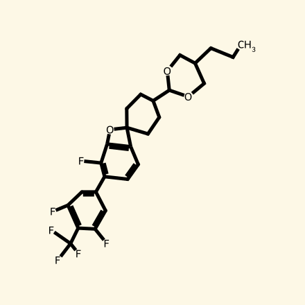 CCCC1COC(C2CCC3(CC2)Oc2c3ccc(-c3cc(F)c(C(F)(F)F)c(F)c3)c2F)OC1